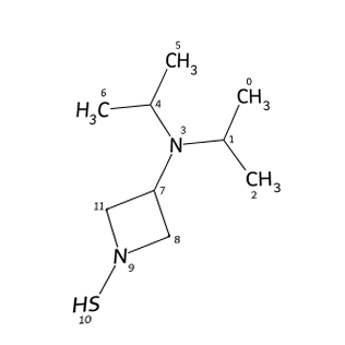 CC(C)N(C(C)C)C1CN(S)C1